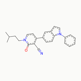 CC(C)CCn1ccc(-c2ccc3c(ccn3-c3ccccc3)c2)c(C#N)c1=O